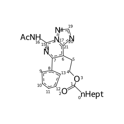 CCCCCCCC(=O)OCCc1c(-c2ccccc2)nc(NC(C)=O)n2ncnc12